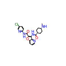 CN[C@H]1CC[C@H](C(=O)Nc2c(C(=O)Nc3ccc(Cl)cn3)oc3cccnc23)CC1